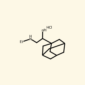 CCCC(CNCC)C12CC3CC(CC(C3)C1)C2.Cl